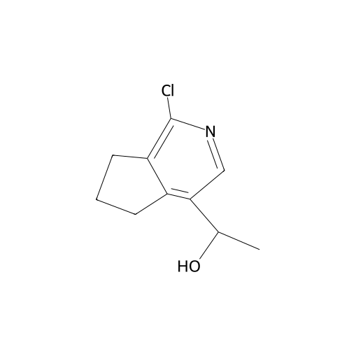 CC(O)c1cnc(Cl)c2c1CCC2